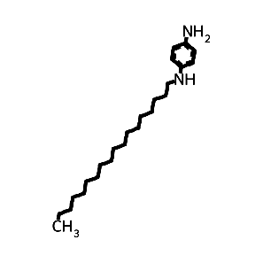 CCCCCCCCCCCCCCCCCCNc1ccc(N)cc1